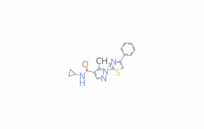 Cc1c(C(=O)NC2CC2)cnn1-c1nc(-c2ccccc2)cs1